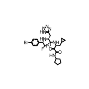 O=C(NC1CCCC1)C(=O)[C@H](CC1CC1)NC(=O)[C@H](Cc1nnn[nH]1)N[C@@H](c1ccc(Br)cc1)C(F)F